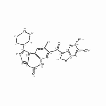 Cc1cc2c(cc1C(=O)N1CCc3cc(Cl)c(F)cc31)[nH]c(=O)c1cnc(C3CCOCC3)n12